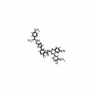 Cc1ccc(C(C)NCc2ccc(-c3ccc(Cl)c(C(=O)NC(CCN4CCN[C@@H](C)C4)Cc4ccc(C#N)cc4)c3)o2)cc1